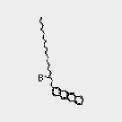 CCCCCCCCCCCCCCCC(Br)CCc1ccc2cc3cc4ccccc4cc3cc2c1